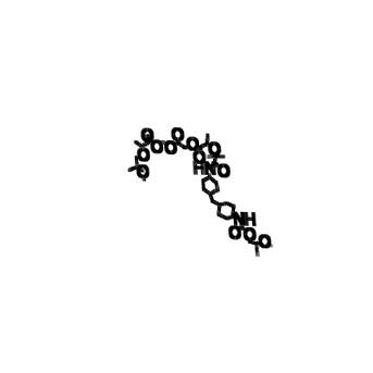 COC(C)COC(=O)NC1CCC(CC2CCC(NC(=O)C(C)(C)OC(C)C(=O)OCC(=O)OCOC(=O)C(C)OCC(C)OC)CC2)CC1